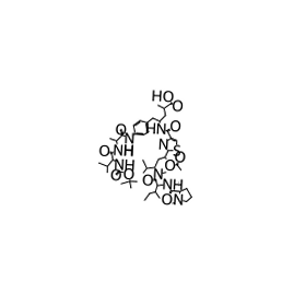 CCC(C)C(NC(=O)[C@@]1(C)CCCN1C)C(=O)N(C)C(CC(OC(C)=O)c1nc(C(=O)NC(Cc2ccc(NC(=O)C(C)NC(=O)C(NC(=O)OC(C)(C)C)C(C)C)cc2)CC(C)C(=O)O)cs1)C(C)C